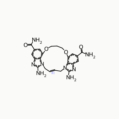 NC(=O)c1cc2c3c(c1)nc(N)n3C/C=C/Cn1c(N)nc3cc(C(N)=O)cc(c31)OCCCO2